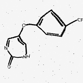 O=c1ncc(Oc2ccc(C(F)(F)F)cc2)c[nH]1